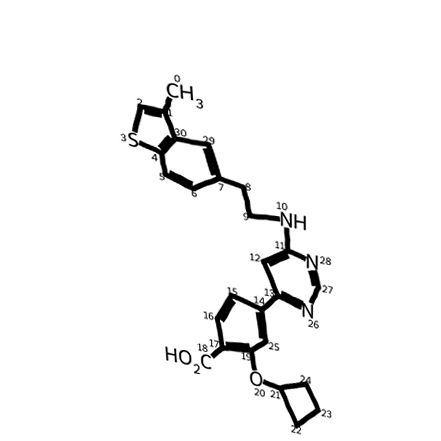 Cc1csc2ccc(CCNc3cc(-c4ccc(C(=O)O)c(OC5CCC5)c4)ncn3)cc12